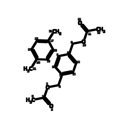 CC(=O)OCc1ccc(COC(C)=O)cc1.Cc1ccc(C)cc1